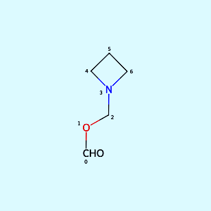 O=COCN1CCC1